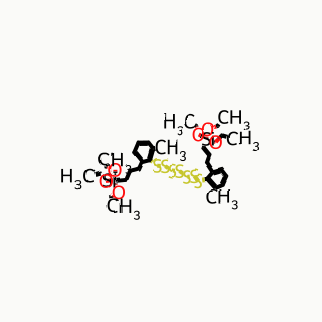 CCO[Si](CCCc1cccc(C)c1SSSSSSSc1c(C)cccc1CCC[Si](OCC)(OCC)OCC)(OCC)OCC